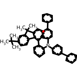 CC(C)(C)c1ccc2c(c1)C(C)(C)c1cccc(-c3ccccc3N(c3ccc(-c4ccccc4)cc3)c3ccc(-c4ccccc4)cc3)c1-2